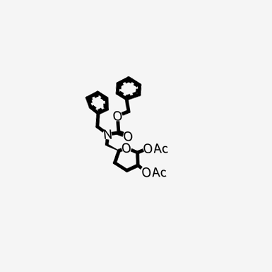 CC(=O)OC1CC[C@@H](CN(Cc2ccccc2)C(=O)OCc2ccccc2)OC1OC(C)=O